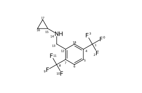 FC(F)(F)c1ccc(C(F)(F)F)c(CNC2CC2)c1